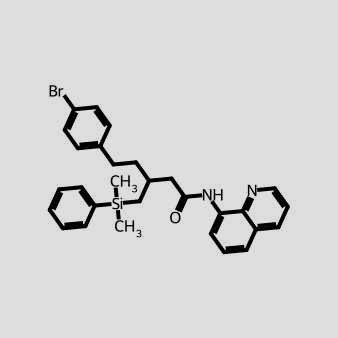 C[Si](C)(CC(CCc1ccc(Br)cc1)CC(=O)Nc1cccc2cccnc12)c1ccccc1